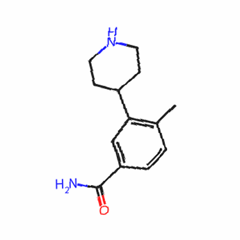 Cc1ccc(C(N)=O)cc1C1CCNCC1